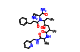 CCC(C)C(NC(=O)C(CC(O)C(CC(C)C)N(C(=O)[C@@H](N)Cc1ccccc1)[C@H](C(N)=O)C(C)C)C(C)C)C(=O)NCc1ccccn1